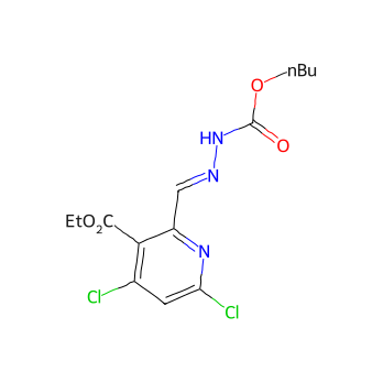 CCCCOC(=O)N/N=C/c1nc(Cl)cc(Cl)c1C(=O)OCC